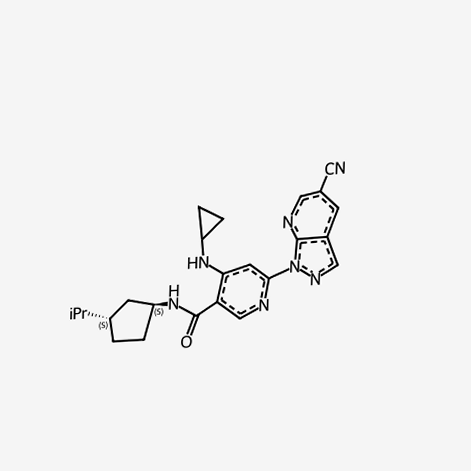 CC(C)[C@H]1CC[C@H](NC(=O)c2cnc(-n3ncc4cc(C#N)cnc43)cc2NC2CC2)C1